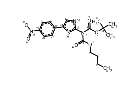 CCCCOC(=O)N(C(=O)OC(C)(C)C)c1ncc(-c2ccc([N+](=O)[O-])cc2)s1